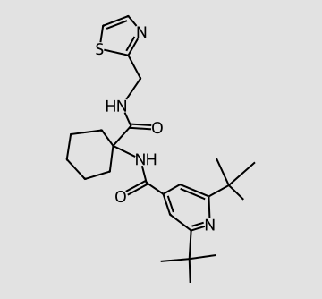 CC(C)(C)c1cc(C(=O)NC2(C(=O)NCc3nccs3)CCCCC2)cc(C(C)(C)C)n1